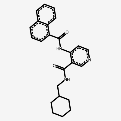 O=C(NCC1CCCCC1)c1cnccc1NC(=O)c1cccc2ccccc12